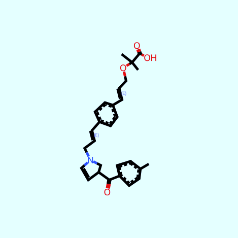 Cc1ccc(C(=O)C2C=CN(C/C=C/c3ccc(/C=C/COC(C)(C)C(=O)O)cc3)C2)cc1